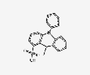 CC1c2ccccc2N(c2ccccc2)c2cccc(S(=O)(=O)O)c21